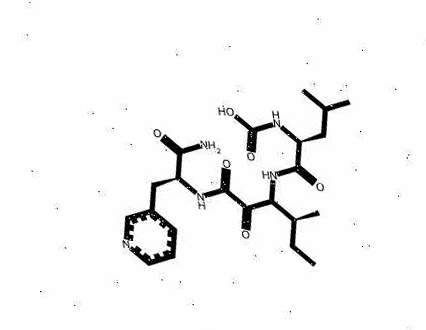 CC[C@H](C)C(NC(=O)[C@H](CC(C)C)NC(=O)O)C(=O)C(=O)N[C@@H](Cc1cccnc1)C(N)=O